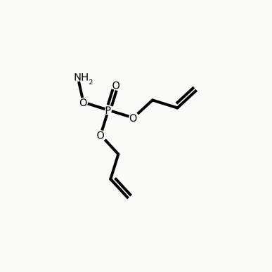 C=CCOP(=O)(ON)OCC=C